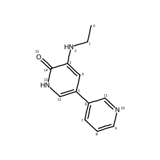 CCNc1cc(-c2cccnc2)c[nH]c1=O